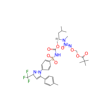 Cc1ccc(-c2cc(C(F)(F)F)nn2-c2ccc(S(=O)(=O)NC(=O)OC[C@H](CC(C)C)N(C)[N+]([O-])=NOCOC(=O)C(C)(C)C)cc2)cc1